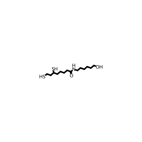 O=C(CCCCC(S)CCS)NCCCCCCO